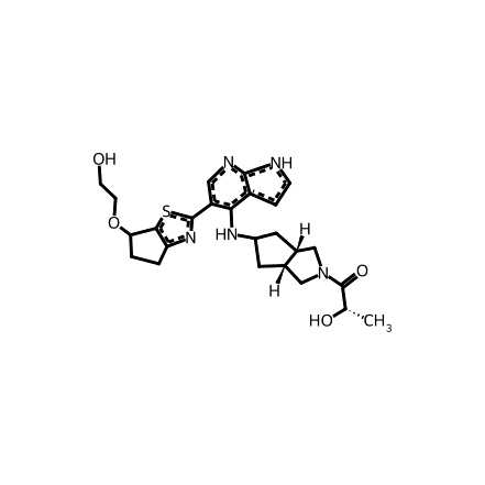 C[C@H](O)C(=O)N1C[C@H]2CC(Nc3c(-c4nc5c(s4)C(OCCO)CC5)cnc4[nH]ccc34)C[C@H]2C1